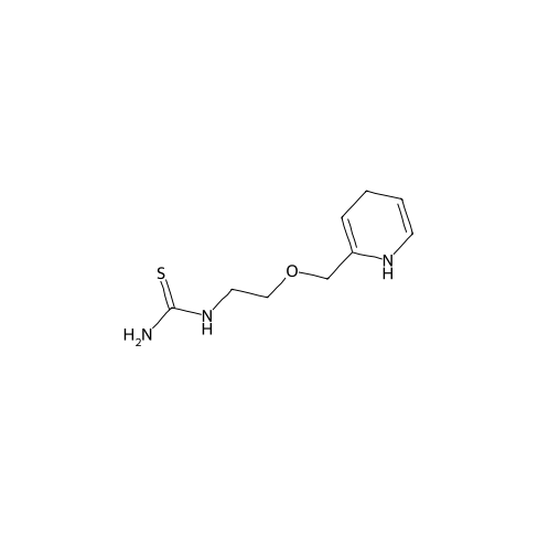 NC(=S)NCCOCC1=CCC=CN1